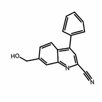 N#Cc1cc(-c2ccccc2)c2ccc(CO)cc2n1